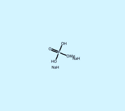 COP(=O)(O)O.[NaH].[NaH]